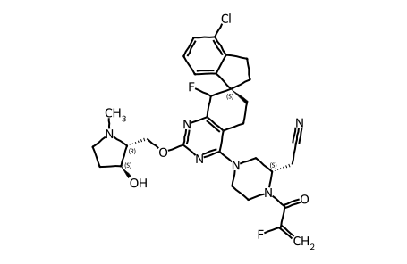 C=C(F)C(=O)N1CCN(c2nc(OC[C@@H]3[C@@H](O)CCN3C)nc3c2CC[C@@]2(CCc4c(Cl)cccc42)C3F)C[C@@H]1CC#N